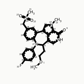 COCCC1c2c[nH]c(=O)c3c2c(cn3C)-c2cc(CS(C)(=O)=O)ccc2N1c1ccc(F)cc1